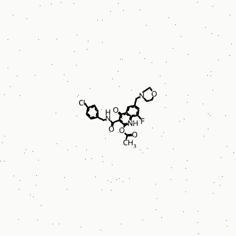 CC(=O)Oc1[nH]c2c(F)cc(CN3CCOCC3)cc2c(=O)c1C(=O)NCc1ccc(Cl)cc1